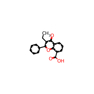 CCc1c(-c2ccccc2)oc2c(C(=O)O)cccc2c1=O